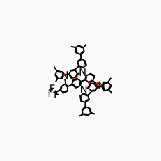 Cc1cc(C)cc(-c2ccc3c(c2)c2cc(-c4cc(C)cc(C)c4)ccc2n3-c2ccc(C#N)cc2-c2ccc(-c3ccc(C(F)(F)F)cc3C#N)cc2-n2c3ccc(-c4cc(C)cc(C)c4)cc3c3cc(-c4cc(C)cc(C)c4)ccc32)c1